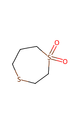 O=S1(=O)CCCSCC1